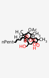 CCCCCC=CC=CC(=O)O[C@@]12[C@H](OC(C)=O)[C@@H](C)[C@@]3(O)[C@@H](C=C(CO)C[C@]4(O)C(=O)C(C)=C[C@@H]34)[C@H]1C2(C)C